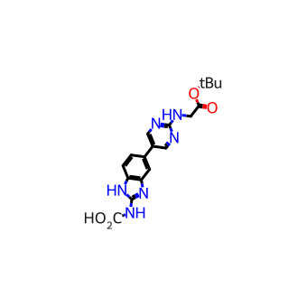 CC(C)(C)OC(=O)CNc1ncc(-c2ccc3[nH]c(NC(=O)O)nc3c2)cn1